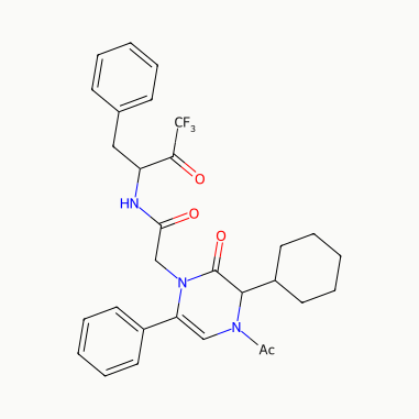 CC(=O)N1C=C(c2ccccc2)N(CC(=O)NC(Cc2ccccc2)C(=O)C(F)(F)F)C(=O)C1C1CCCCC1